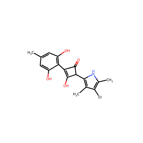 CCc1c(C)[nH]c(C2C(=O)C(c3c(O)cc(C)cc3O)=C2O)c1C